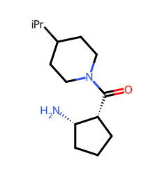 CC(C)C1CCN(C(=O)[C@@H]2CCC[C@@H]2N)CC1